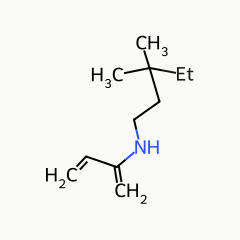 C=CC(=C)NCCC(C)(C)CC